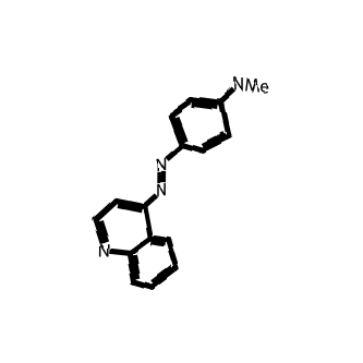 CNc1ccc(N=Nc2ccnc3ccccc23)cc1